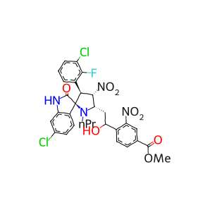 CCCN1[C@@H](CC(O)c2ccc(C(=O)OC)cc2[N+](=O)[O-])[C@@H]([N+](=O)[O-])[C@H](c2cccc(Cl)c2F)[C@]12C(=O)Nc1cc(Cl)ccc12